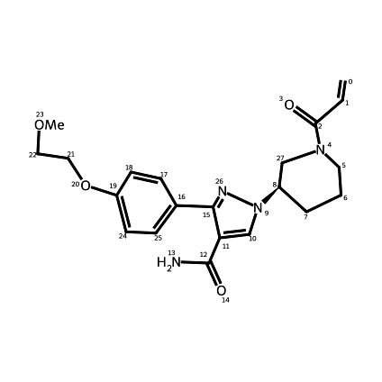 C=CC(=O)N1CCC[C@@H](n2cc(C(N)=O)c(-c3ccc(OCCOC)cc3)n2)C1